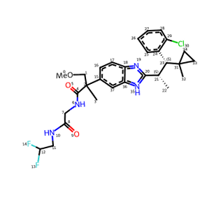 COCC(C)(C(=O)NCC(=O)NCC(F)F)c1ccc2nc([C@@H](C)[C@H](c3ccccc3Cl)C3(C)CC3)[nH]c2c1